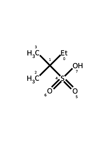 [CH2]CC(C)(C)S(=O)(=O)O